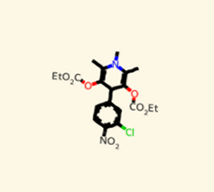 CCOC(=O)OC1=C(C)N(C)C(C)=C(OC(=O)OCC)C1c1ccc([N+](=O)[O-])c(Cl)c1